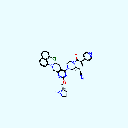 C=C(C(=O)N1CCN(c2nc(OC[C@@H]3CCCN3C)nc3c2CCN(c2cccc4cccc(Cl)c24)C3)C[C@@H]1CC#N)c1ccncc1